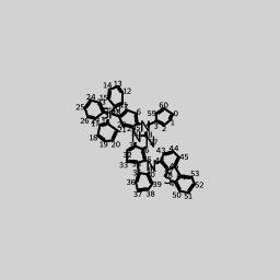 c1ccc(-n2c3ccc([Si](c4ccccc4)(c4ccccc4)c4ccccc4)cc3n3c4ccc5c6ccccc6n(-c6cccc7c6sc6ccccc67)c5c4nc23)cc1